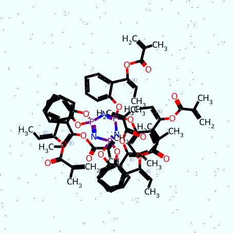 C=C(C)C(=O)O/C(=C/C)c1ccccc1OP1(Oc2ccccc2/C(=C\C)OC(=O)C(=C)C)=NP(Oc2ccccc2/C(=C\C)OC(=O)C(=C)C)(Oc2ccccc2/C(=C\C)OC(=O)C(=C)C)=NP(Oc2ccccc2/C(=C\C)OC(=O)C(=C)C)(Oc2ccccc2/C(=C\C)OC(=O)C(=C)C)=N1